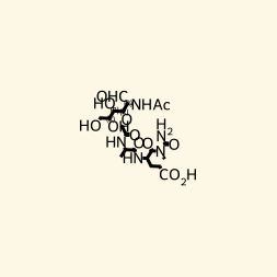 CC(=O)N[C@@H](C=O)[C@@H](OCC(=O)NC(C)C(=O)NC(CCC(=O)O)C(=O)N(C)C(N)=O)[C@H](O)[C@H](O)CO